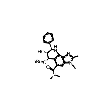 CCCCO[C@@H]1c2c(C(=O)N(C)C)cc3c(nc(C)n3C)c2N[C@H](c2ccccc2)[C@H]1O